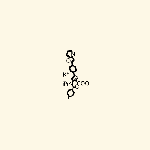 CC(C)N(c1cc(-c2ccc(-c3cc4ncccc4o3)cc2)sc1C(=O)[O-])C(=O)[C@H]1CC[C@H](C)CC1.[K+]